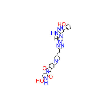 O=C1NC(O)CCC1N1Cc2cc(CN3CCC(CCc4cnc(N5CCN6c7cc(-c8ccccc8O)nnc7NC[C@H]6C5)nc4)CC3)ccc2C1=O